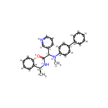 C[C@H](NC(=O)C(c1cccnc1)N(C)c1ccc(-c2ccccc2)cc1)c1ccccc1